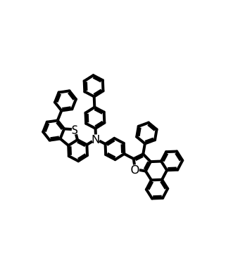 c1ccc(-c2ccc(N(c3ccc(-c4oc5c6ccccc6c6ccccc6c5c4-c4ccccc4)cc3)c3cccc4c3sc3c(-c5ccccc5)cccc34)cc2)cc1